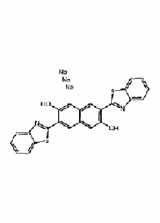 Oc1cc2cc(-c3nc4ccccc4s3)c(O)cc2cc1-c1nc2ccccc2s1.[Na].[Na].[Na]